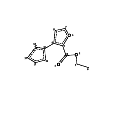 CCOC(=O)c1occc1-c1cccs1